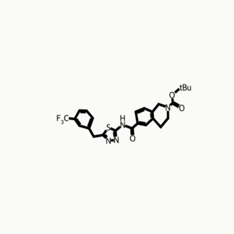 CC(C)(C)OC(=O)N1CCc2cc(C(=O)Nc3nnc(Cc4cccc(C(F)(F)F)c4)s3)ccc2C1